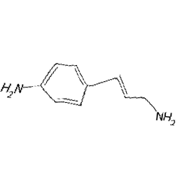 NC/C=C/c1ccc(N)cc1